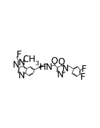 Cn1c(CF)nc2cnc3ccc(C#CCNC(=O)c4cncn(Cc5ccc(F)c(F)c5)c4=O)cc3c21